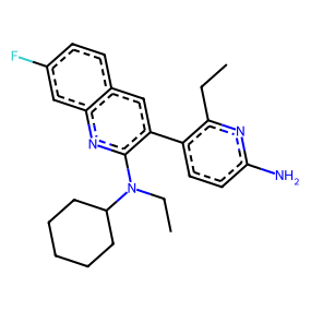 CCc1nc(N)ccc1-c1cc2ccc(F)cc2nc1N(CC)C1CCCCC1